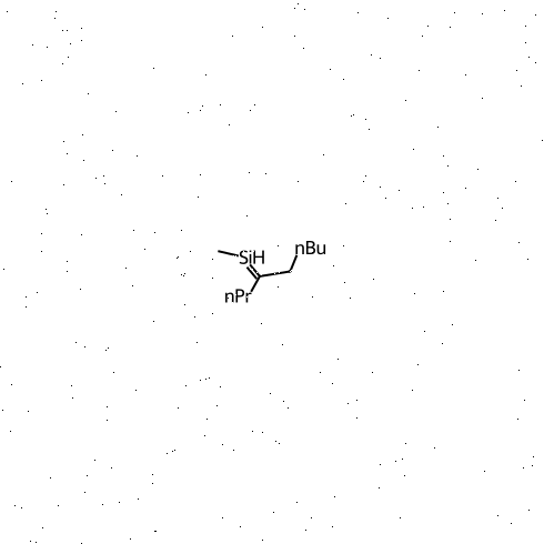 CCCCCC(CCC)=[SiH]C